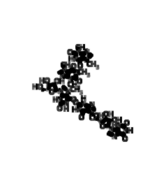 CN1CN([C@@H]2O[C@H](CO)[C@@H](O)[C@H]2O)c2[nH]c(=O)[nH]c(=O)c21.Cn1c(=O)c2c(ncn2C)n(C)c1=O.Cn1cnc2[nH]c(=O)[nH]c(=O)c21.Cn1cnc2c1c(=O)[nH]c(=O)n2C.O=c1[nH]c(=O)c2ncn([C@@H]3O[C@H](CO)[C@@H](O)[C@H]3O)c2[nH]1